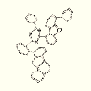 c1ccc(-c2nc(-c3ccccc3-c3cccc4c3oc3c5ccccc5ccc43)nc(-c3cccc4oc5c(-c6ccccc6)cccc5c34)n2)cc1